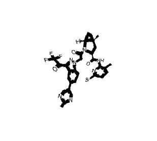 Cc1ncc(-c2ccc3c(c2)c(C(=O)C(F)(F)F)nn3CC(=O)N2[C@H](C(=O)Nc3nc(Br)ccc3C)C[C@@]3(C)C[C@@H]23)cn1